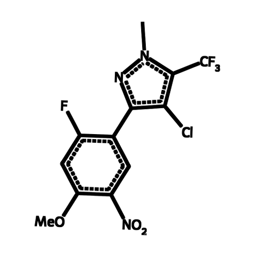 COc1cc(F)c(-c2nn(C)c(C(F)(F)F)c2Cl)cc1[N+](=O)[O-]